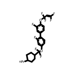 CCCC1CCC(C(F)(F)Oc2ccc(-c3ccc(OC(F)(F)C=C(F)F)c(F)c3)c(F)c2)CC1